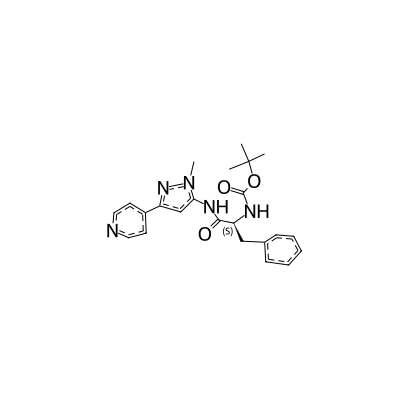 Cn1nc(-c2ccncc2)cc1NC(=O)[C@H](Cc1ccccc1)NC(=O)OC(C)(C)C